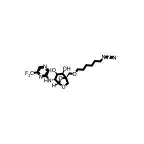 [N-]=[N+]=NCCCCCCOC[C@@]12CO[C@@H](O1)[C@H](Nc1cncc(C(F)(F)F)n1)[C@@H](O)[C@H]2O